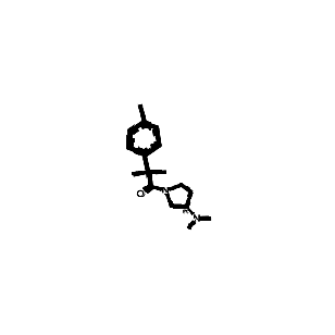 Cc1ccc(C(C)(C)C(=O)N2CC[C@@H](N(C)C)C2)cc1